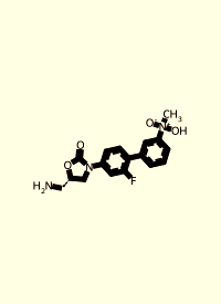 C[N+]([O-])(O)c1cccc(-c2ccc(N3C[C@H](CN)OC3=O)cc2F)c1